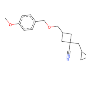 COc1ccc(COCC2CC(C#N)(CC3CC3)C2)cc1